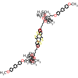 CCOc1ccc(-c2ccc(-c3ccc(OCCCCCC[Si](C)(O[Si](C)(C)C)O[Si](C)(CCCCCCOc4ccc(-c5csc(C6Sc7ccccc7S6)c5-c5c(-c6ccc(OCCCCCC[Si](C)(O[Si](C)(C)C)O[Si](C)(CCCCCCOc7ccc(-c8ccc(-c9ccc(OCC)cc9)cc8)cc7)O[Si](C)(C)C)cc6)csc5C5Sc6ccccc6S5)cc4)O[Si](C)(C)C)cc3)cc2)cc1